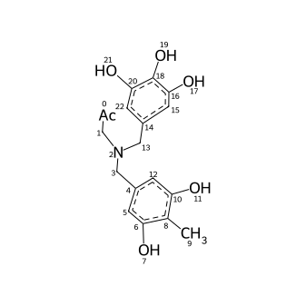 CC(=O)CN(Cc1cc(O)c(C)c(O)c1)Cc1cc(O)c(O)c(O)c1